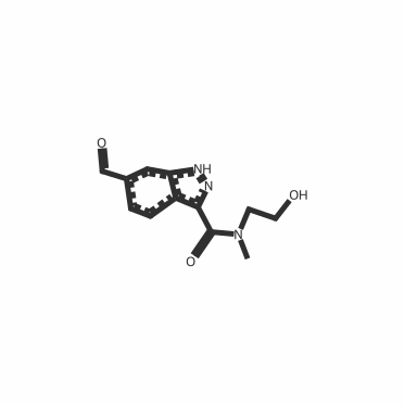 CN(CCO)C(=O)c1n[nH]c2cc(C=O)ccc12